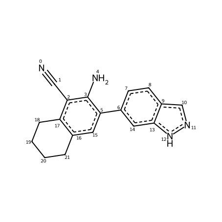 N#Cc1c(N)c(-c2ccc3cn[nH]c3c2)cc2c1CCCC2